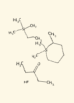 CC1CCCC[Si]1(C)C.CCC(=O)CC.CC[Si](C)(C)C.F